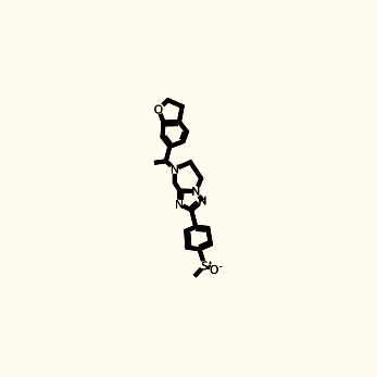 CC(c1ccc2c(c1)OCC2)N1CCn2nc(-c3ccc([S+](C)[O-])cc3)nc2C1